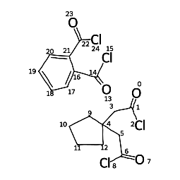 O=C(Cl)CC1(CC(=O)Cl)CCCC1.O=C(Cl)c1ccccc1C(=O)Cl